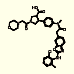 Cc1cccc(Cl)c1Nc1nc2ccc(CC(=O)N(C)c3ccc(C4CN(C(=O)CN5CCOCC5)CC4C(=O)O)cc3)cc2o1